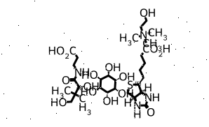 CC(C)(CO)[C@@H](O)C(=O)NCCC(=O)O.C[N+](C)(C)CCO.O=C(O)CCCC[C@@H]1SC[C@@H]2NC(=O)N[C@@H]21.O[C@H]1[C@H](O)[C@@H](O)[C@H](O)[C@@H](O)[C@H]1O